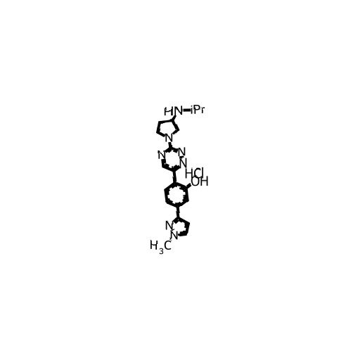 CC(C)NC1CCN(c2ncc(-c3ccc(-c4ccn(C)n4)cc3O)nn2)C1.Cl